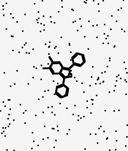 Cc1cc2c(-c3ccccc3)oc(-c3ccccc3)c2cc1C